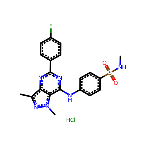 CNS(=O)(=O)c1ccc(Nc2nc(-c3ccc(F)cc3)nc3c(C)nn(C)c23)cc1.Cl